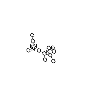 c1ccc(-c2ccc(-c3nc(-c4ccccc4)nc(-c4ccc(-c5cc(-c6ccccc6)c6c7cc(-c8ccccc8)ccc7n(-c7cccc8oc9ccccc9c78)c6c5)cc4)n3)cc2)cc1